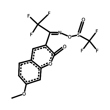 COc1ccc2cc(/C(=N\OS(=O)C(F)(F)F)C(F)(F)F)c(=O)oc2c1